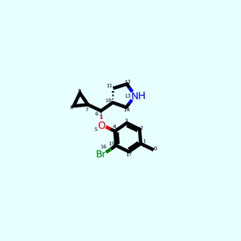 Cc1ccc(O[C@H](C2CC2)[C@@H]2CCNC2)c(Br)c1